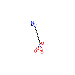 Cn1cc[n+](CCCCCCCCCCC(=O)N(COC=O)COC=O)c1